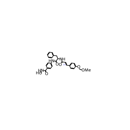 COCOc1ccc(/C=C/C(=O)NC(Cc2ccccc2)C(=O)Nc2ccc(C(=O)NO)cc2)cc1